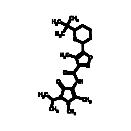 Cc1c(C(=O)Nc2c(C)n(C)n(C(C)C)c2=O)noc1C1CCCC(C(C)(C)C)O1